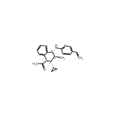 C=Cc1ccc(N[C@H]2c3ccccc3N(C(C)=O)[C@@H](C3CC3)[C@@H]2C)nc1